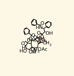 CC(=O)O[C@H]1C(=O)[C@@]2(C)C([C@H](OC(=O)c3ccccc3)[C@]3(O)C[C@H](OC(=O)[C@H](O)[C@@H](NC(=O)c4ccccc4)c4ccccc4)C(C)=C1C3(C)C)[C@]1(OC(C)=O)CO[C@@H]1[C@@H](O)[C@@H]2O